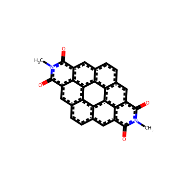 Cn1c(=O)c2cc3ccc4cc5c(=O)n(C)c(=O)c6cc7ccc8cc(c1=O)c2c1c3c4c(c56)c7c81